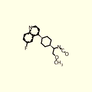 COCC(N=C=O)[C@H]1CC[C@@H](c2ccnc3ccc(F)cc32)CC1